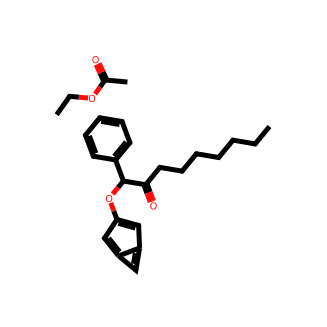 CCCCCCCC(=O)C(Oc1cc2cc-2c1)c1ccccc1.CCOC(C)=O